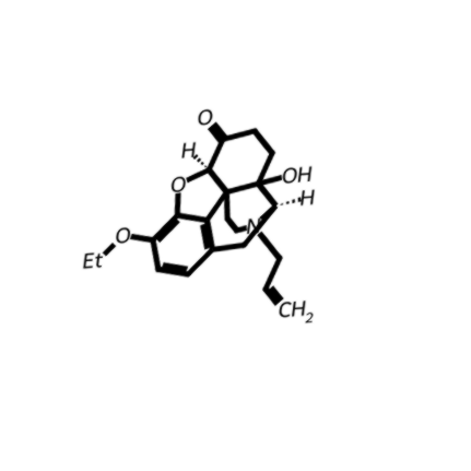 C=CCN1CCC23c4c5ccc(OCC)c4O[C@H]2C(=O)CCC3(O)[C@H]1C5